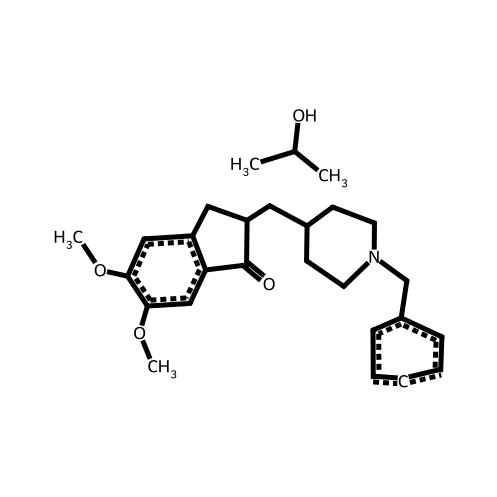 CC(C)O.COc1cc2c(cc1OC)C(=O)C(CC1CCN(Cc3ccccc3)CC1)C2